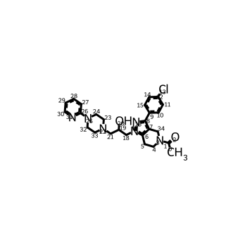 CC(=O)N1CCc2c(c(-c3ccc(Cl)cc3)nn2CC(O)CN2CCN(c3ccccn3)CC2)C1